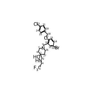 OC1(CNCC(F)(F)F)CCN(Cc2cc(Br)ccc2OCc2ccc(Cl)cc2)CC1